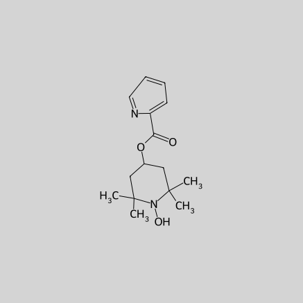 CC1(C)CC(OC(=O)c2ccccn2)CC(C)(C)N1O